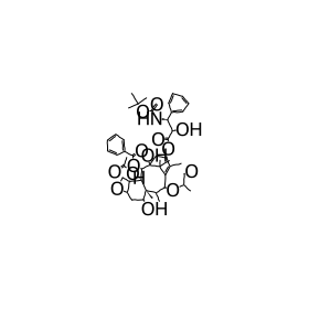 CC(=O)O[C@@]12COC1C[C@H](O)[C@@]1(C)C(C)[C@H](OC(C)C=O)C3=C(C)[C@@H](OC(=O)[C@H](O)[C@@H](NC(=O)OC(C)(C)C)c4ccccc4)C[C@@](O)([C@@H](OC(=O)c4ccccc4)[C@@H]12)C3(C)C